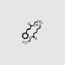 CCCCCC(=O)OCC.CCOC(=O)C=Cc1ccccc1